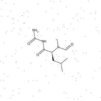 CC(C)C[C@@H](C(=O)NC(N)=O)N(C)C=O